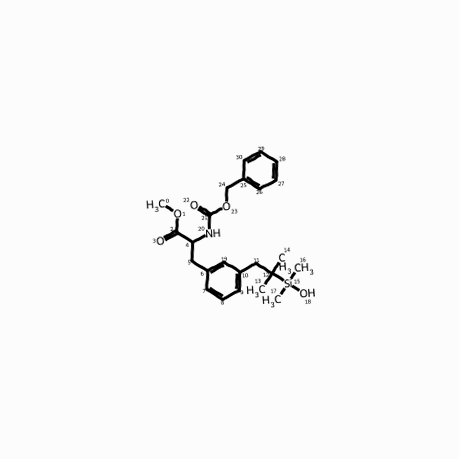 COC(=O)C(Cc1cccc(CC(C)(C)[Si](C)(C)O)c1)NC(=O)OCc1ccccc1